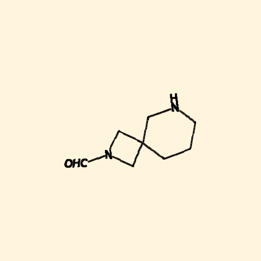 O=CN1CC2(CCCNC2)C1